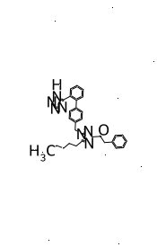 CCCCCc1nc(C(=O)Cc2ccccc2)nn1Cc1ccc(-c2ccccc2-c2nnn[nH]2)cc1